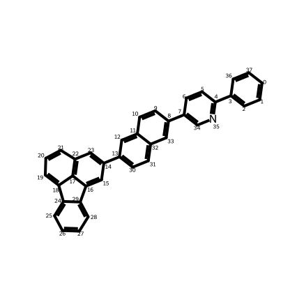 c1ccc(-c2ccc(-c3ccc4cc(-c5cc6c7c(cccc7c5)-c5ccccc5-6)ccc4c3)cn2)cc1